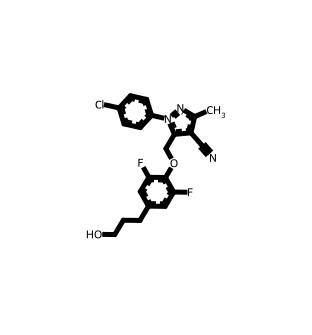 Cc1nn(-c2ccc(Cl)cc2)c(COc2c(F)cc(CCCO)cc2F)c1C#N